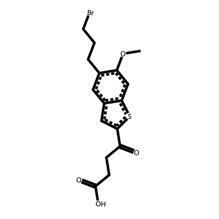 COc1cc2sc(C(=O)CCC(=O)O)cc2cc1CCCBr